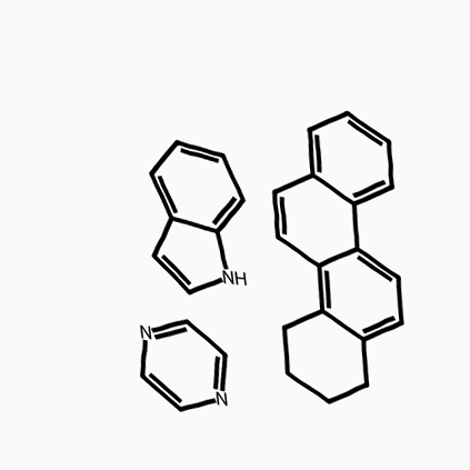 c1ccc2[nH]ccc2c1.c1ccc2c(c1)ccc1c3c(ccc12)CCCC3.c1cnccn1